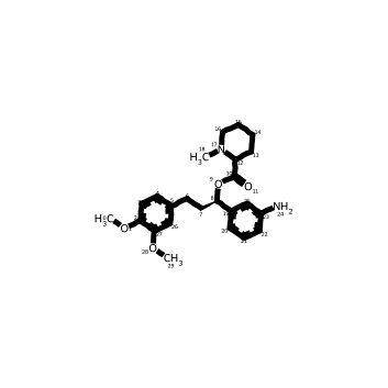 COc1ccc(CC[C@@H](OC(=O)C2CCCCN2C)c2cccc(N)c2)cc1OC